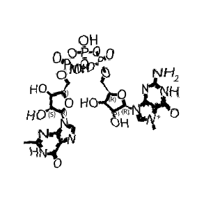 COP(=O)(OC[C@H]1O[C@@H](n2c[n+](C)c3c(=O)[nH]c(N)nc32)[C@@H](O)C1O)OP(=O)(O)OP(=O)(O)OC[C@H]1O[C@@H](n2cnc3c(=O)[nH]c(C)nc32)[C@@H](O)C1O